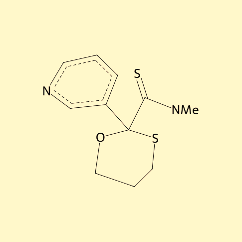 CNC(=S)C1(c2cccnc2)OCCCS1